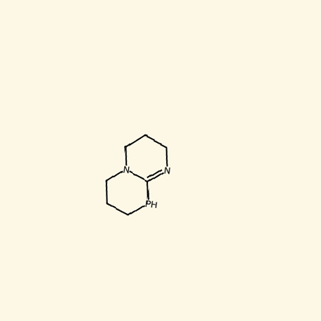 C1CN=C2PCCCN2C1